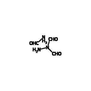 NC=O.NN(C=O)C=O